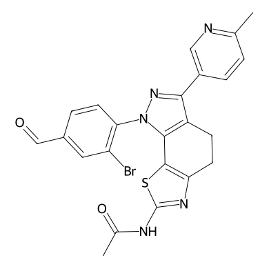 CC(=O)Nc1nc2c(s1)-c1c(c(-c3ccc(C)nc3)nn1-c1ccc(C=O)cc1Br)CC2